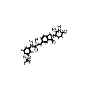 O=C1CCC(N2Cc3ccc(CNC(=O)Nc4cccc(OC(F)(F)F)c4)cc3C2=O)C(=O)N1